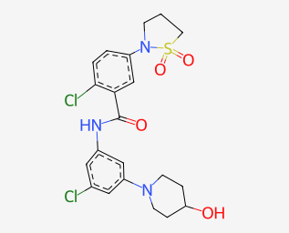 O=C(Nc1cc(Cl)cc(N2CCC(O)CC2)c1)c1cc(N2CCCS2(=O)=O)ccc1Cl